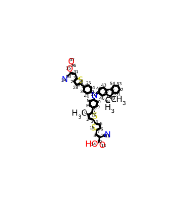 Cc1cc(-c2ccc(/C=C(\C#N)C(=O)O)s2)sc1-c1ccc(N(c2ccc(-c3ccc(/C=C(\C#N)OC=O)s3)cc2)c2ccc3c(c2)C(C)(C)c2ccccc2-3)cc1